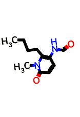 CCCCc1c(NC=O)ccc(=O)n1C